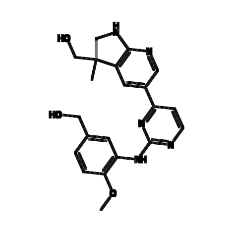 COc1ccc(CO)cc1Nc1nccc(-c2cnc3c(c2)C(C)(CO)CN3)n1